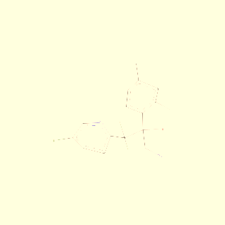 Cc1ccc(C(O)(CN)C(F)(F)c2ccc(Br)cn2)c(F)c1